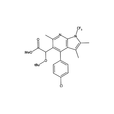 COC(=O)C(OC(C)(C)C)c1c(C)nc2c(c(C)c(C)n2C(F)(F)F)c1-c1ccc(Cl)cc1